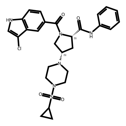 O=C(Nc1ccccc1)[C@@H]1C[C@H](N2CCN(S(=O)(=O)C3CC3)CC2)CN1C(=O)c1ccc2[nH]cc(Cl)c2c1